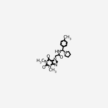 Cc1ccc(C(NC(=O)Cn2cnc3c2c(=O)n(C)c(=O)n3C)N2CCCC2)cc1